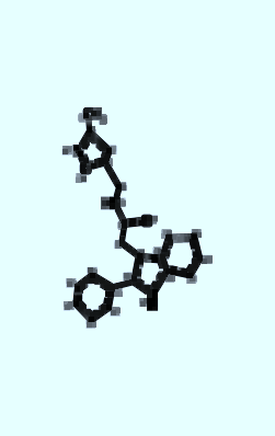 Cc1cc(CNC(=O)Cc2c(-c3ccccc3)[nH]c3ccccc23)on1